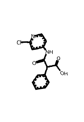 O=C(O)C(C(=O)Nc1ccnc(Cl)c1)c1ccccc1